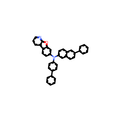 c1ccc(-c2ccc(N(c3ccc4cc(-c5ccccc5)ccc4c3)c3ccc4c(c3)oc3ncccc34)cc2)cc1